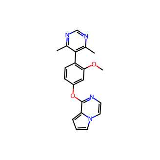 COc1cc(Oc2nccn3cccc23)ccc1-c1c(C)ncnc1C